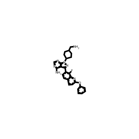 NCC1CCC(n2nc(-c3ccc4ccc(Oc5ccccc5)nc4c3F)c3c(N)ncnc32)CC1